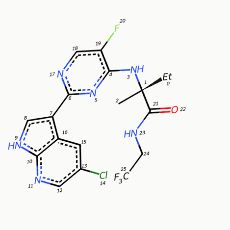 CC[C@@](C)(Nc1nc(-c2c[nH]c3ncc(Cl)cc23)ncc1F)C(=O)NCC(F)(F)F